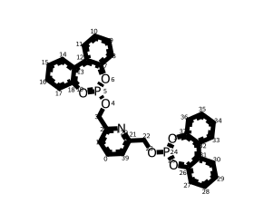 c1cc(COp2oc3ccccc3c3ccccc3o2)nc(COp2oc3ccccc3c3ccccc3o2)c1